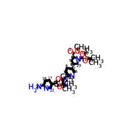 COC(=O)[C@@H]1C[C@H](c2ccc(NC3(C)OB(c4ccc(N)nc4)OC3(C)C)nc2)CN1C(=O)OC(C)(C)C